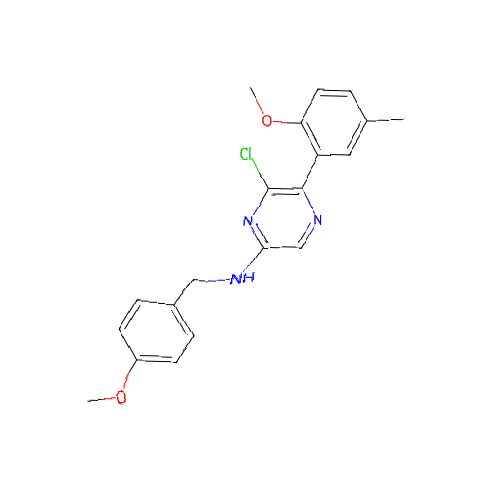 COc1ccc(CNc2cnc(-c3cc(C)ccc3OC)c(Cl)n2)cc1